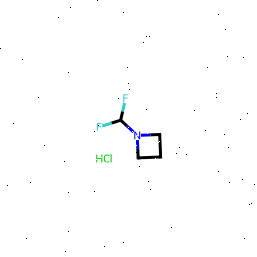 Cl.FC(F)N1CCC1